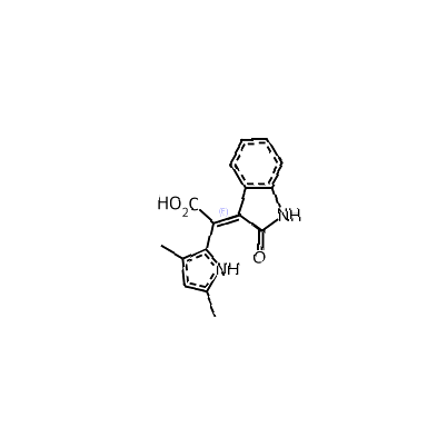 Cc1cc(C)c(/C(C(=O)O)=C2\C(=O)Nc3ccccc32)[nH]1